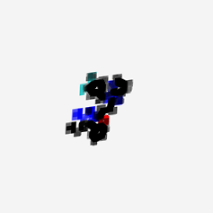 C[C@@H](c1ccccc1)N(N)C(=O)CCc1nc2cccnc2n1Cc1ccc(F)c(F)c1